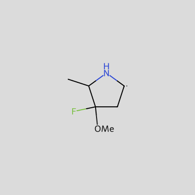 COC1(F)C[CH]NC1C